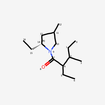 CCC(C)C(CC)C(=O)N1CC(C)C[C@H]1CC